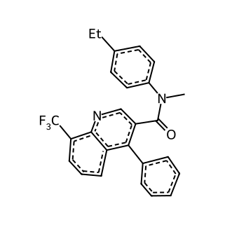 CCc1ccc(N(C)C(=O)c2cnc3c(C(F)(F)F)cccc3c2-c2ccccc2)cc1